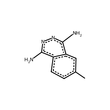 Cc1ccc2c(N)nnc(N)c2c1